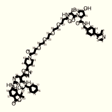 Cc1ncsc1-c1ccc(CNC(=O)[C@@H]2C[C@@H](O)CN2C(=O)[C@@H](NC(=O)CCOCCOCCOCCOCCC(=O)N2CCC(c3nnc(-c4cnc(Nc5ccc6c(c5)C(C)(C)OC6=O)nc4N[C@H](CO)c4ccccc4)o3)CC2)C(C)(C)C)cc1